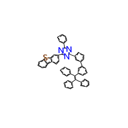 c1ccc(C(=C(c2ccccc2)c2cccc(-c3cccc(-c4nc(-c5ccccc5)nc(-c5ccc6c(c5)sc5ccccc56)n4)c3)c2)c2ccccc2)cc1